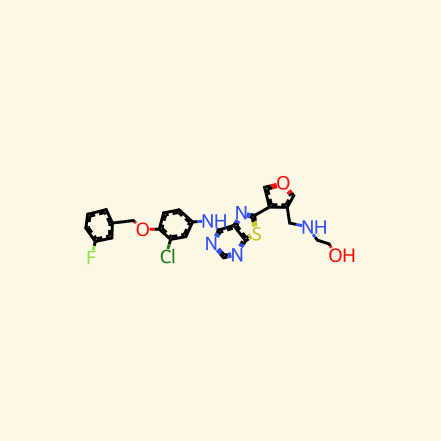 OCCNCc1cocc1-c1nc2c(Nc3ccc(OCc4cccc(F)c4)c(Cl)c3)ncnc2s1